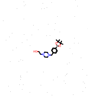 CC1(C)OB(c2ccc(CN3CCN(CCO)CC3)cc2)OC1(C)C